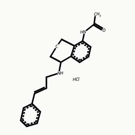 CC(=O)Nc1cccc2c1CCCC2NCC=Cc1ccccc1.Cl